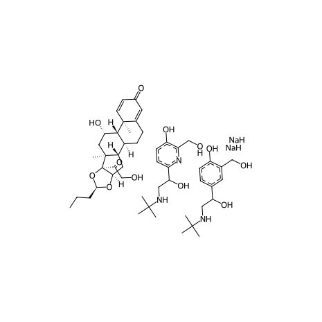 CC(C)(C)NCC(O)c1ccc(O)c(CO)c1.CC(C)(C)NCC(O)c1ccc(O)c(CO)n1.CCC[C@@H]1O[C@@H]2C[C@H]3[C@@H]4CCC5=CC(=O)C=C[C@]5(C)[C@H]4[C@@H](O)C[C@]3(C)[C@]2(C(=O)CO)O1.[NaH].[NaH]